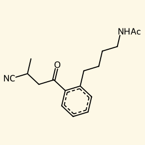 CC(=O)NCCCCc1ccccc1C(=O)CC(C)C#N